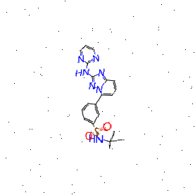 CC(C)(C)NS(=O)(=O)c1cccc(-c2cccc3nc(Nc4ncccn4)nn23)c1